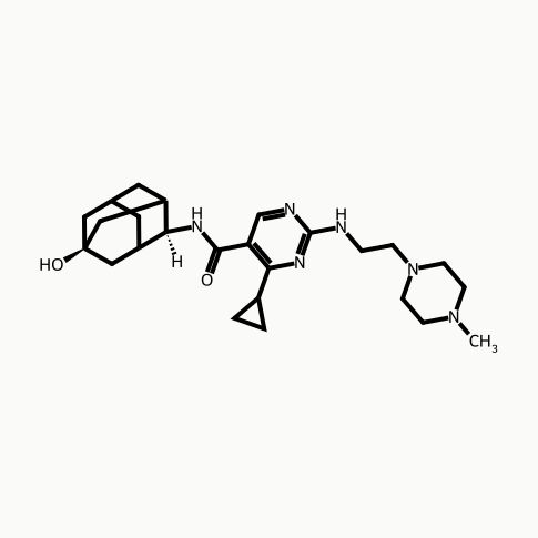 CN1CCN(CCNc2ncc(C(=O)N[C@H]3C4CC5CC3C[C@@](O)(C5)C4)c(C3CC3)n2)CC1